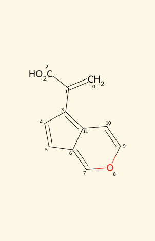 C=C(C(=O)O)c1ccc2coccc1-2